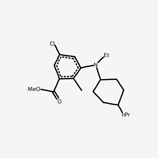 CCCC1CCC(N(CC)c2cc(Cl)cc(C(=O)OC)c2C)CC1